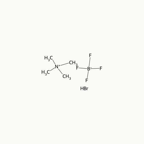 Br.C[N+](C)(C)C.F[B-](F)(F)F